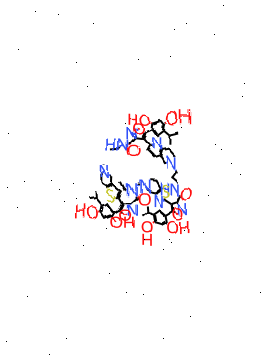 CCNC(=O)c1noc(-c2cc(C(C)C)c(O)cc2O)c1-c1ccc2c(n1)CCN(CCCNC(=O)c1noc(-c3cc(C(C)C)c(O)cc3O)c1-c1nc3c(s1)CCN(CN(CC)C(=O)c1noc(-c4cc(C(C)C)c(O)cc4O)c1-c1cc4c(s1)CCN(C)C4)C3)C2